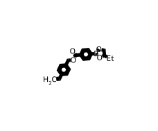 C=Cc1ccc(COC(=O)c2ccc(B3OCC(CC)O3)cc2)cc1